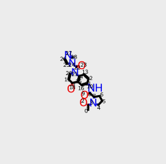 CC(=O)N1CCCC1C(=O)Nc1ccc2c(c1)c(=O)ccn2C(=O)n1ccnc1